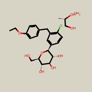 CCOc1ccc(Cc2cc([C@@H]3O[C@H](CO)[C@@H](O)[C@H](O)[C@H]3O)ccc2Cl)cc1.C[C@H](O)CO.O